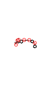 COc1cc(OCCCOc2ccc(Oc3ccccc3)cc2)ccc1C[C@H](OC)C(C)=O